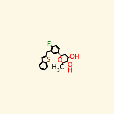 CC1O[C@@H](c2ccc(F)c(Cc3cc4ccccc4s3)c2)CC(O)C1O